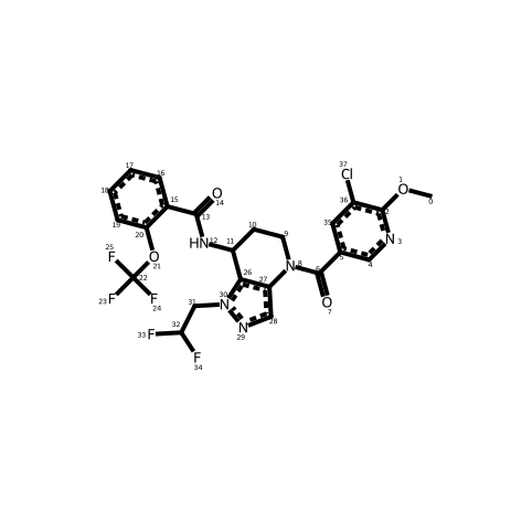 COc1ncc(C(=O)N2CCC(NC(=O)c3ccccc3OC(F)(F)F)c3c2cnn3CC(F)F)cc1Cl